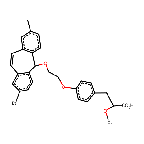 CCOC(Cc1ccc(OCCOC2c3ccc(C)cc3C=Cc3cc(CC)ccc32)cc1)C(=O)O